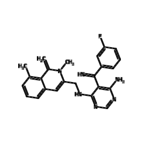 C=C1c2c(C)cccc2C=C(CNc2ncnc(N)c2C(=N)c2cccc(F)c2)N1C